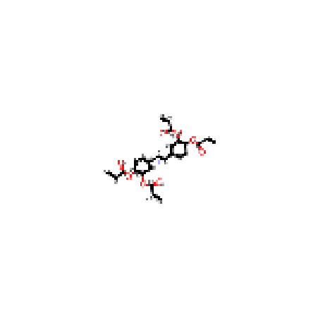 C=CC(=O)Oc1ccc(/C=C/c2ccc(OC(=O)C=C)c(OC(=O)C=C)c2)cc1OC(=O)C=C